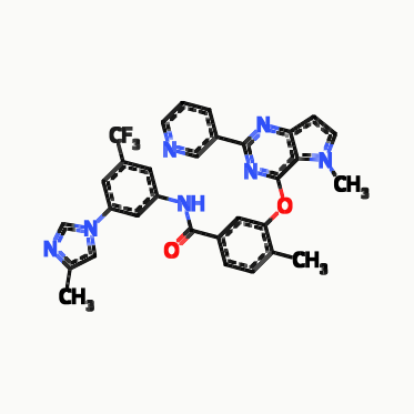 Cc1cn(-c2cc(NC(=O)c3ccc(C)c(Oc4nc(-c5cccnc5)nc5ccn(C)c45)c3)cc(C(F)(F)F)c2)cn1